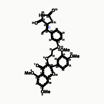 COc1cc(OC)c2c(=O)c(OCCOc3cccc(/C(C)=C4\SC(=O)NC4=O)c3)c(-c3ccc(OC)c(OC)c3)oc2c1